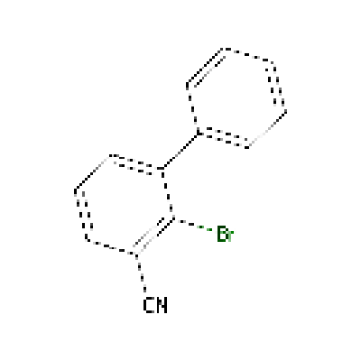 N#Cc1cccc(-c2ccccc2)c1Br